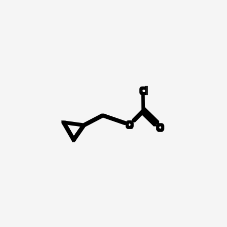 O=C(Cl)OCC1CC1